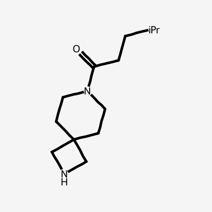 CC(C)CCC(=O)N1CCC2(CC1)CNC2